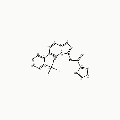 O=C(Nc1cnc2ccc(-c3ccccc3C(F)(F)F)nn12)c1cscn1